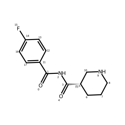 O=C(NC(=O)[C@H]1CCCNC1)c1ccc(F)cc1